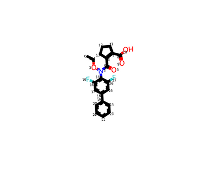 CCON(C(=O)C1=C(C(=O)O)CCC1)c1c(F)cc(-c2ccccc2)cc1F